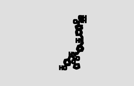 O=C(NO)c1cc2ccc(CNCc3ccc(CNC(Cc4ccc(O)cc4)C(=O)OC4CCCC4)cc3)cc2s1